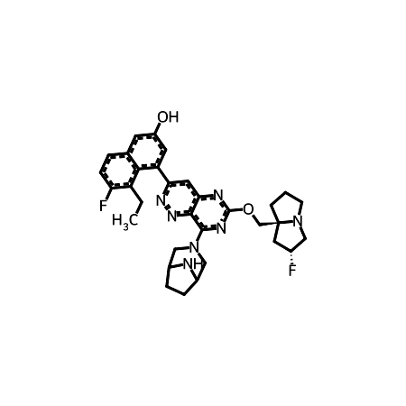 CCc1c(F)ccc2cc(O)cc(-c3cc4nc(OC[C@@]56CCCN5C[C@H](F)C6)nc(N5CC6CCC(C5)N6)c4nn3)c12